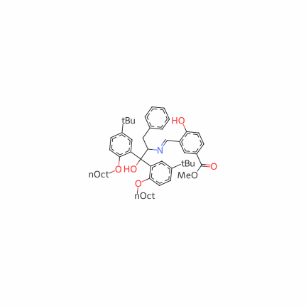 CCCCCCCCOc1ccc(C(C)(C)C)cc1C(O)(c1cc(C(C)(C)C)ccc1OCCCCCCCC)C(Cc1ccccc1)N=Cc1cc(C(=O)OC)ccc1O